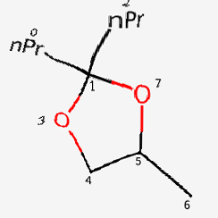 CCCC1(CCC)OCC(C)O1